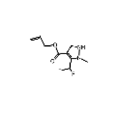 C=CCOC(=O)C1=C(C(F)F)N(C)NC1